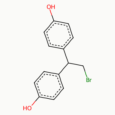 Oc1ccc(C(CBr)c2ccc(O)cc2)cc1